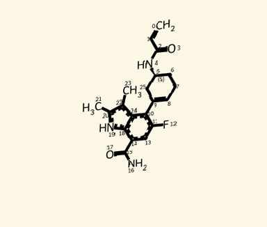 C=CC(=O)N[C@H]1CCC=C(c2c(F)cc(C(N)=O)c3[nH]c(C)c(C)c23)C1